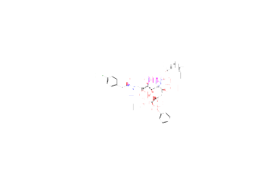 COC(=O)[C@@]1(OCc2ccccc2)C[C@H](O)[C@@H](NC(=O)OC(C)(C)C)[C@H]([C@H](O)[C@H](O)CNC(=O)Cc2ccc(Cl)cc2)O1